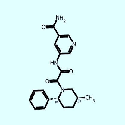 C[C@H]1CC[C@H](c2ccccc2)N(C(=O)C(=O)Nc2cncc(C(N)=O)c2)C1